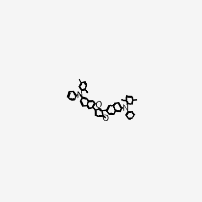 Cc1ccc(C)c(N(c2ccccc2)c2ccc3cc4c(cc3c2)oc2c4ccc3oc4cc5cc(N(c6ccccc6)c6cc(C)ccc6C)ccc5cc4c32)c1